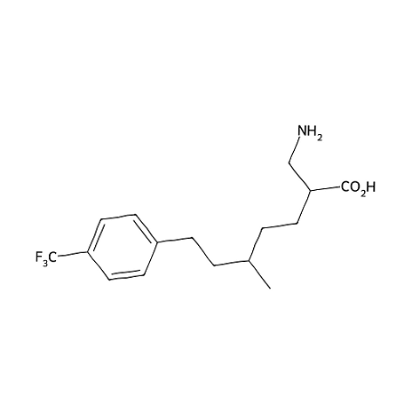 CC(CCc1ccc(C(F)(F)F)cc1)CCC(CN)C(=O)O